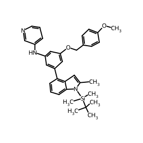 COc1ccc(COc2cc(Nc3cccnc3)cc(-c3cccc4c3cc(C)n4[Si](C)(C)C(C)(C)C)c2)cc1